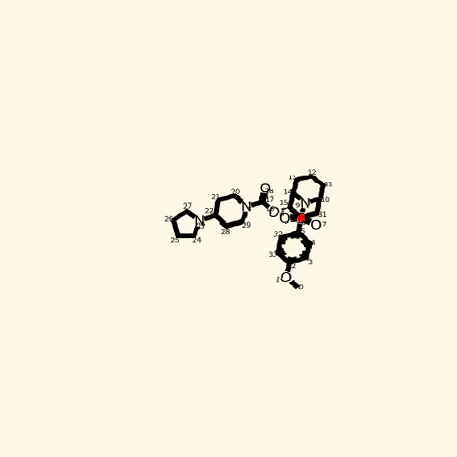 COc1ccc(S(=O)(=O)N2C3CCCC2[C@@H](OC(=O)N2CCC(N4CCCC4)CC2)CC3)cc1